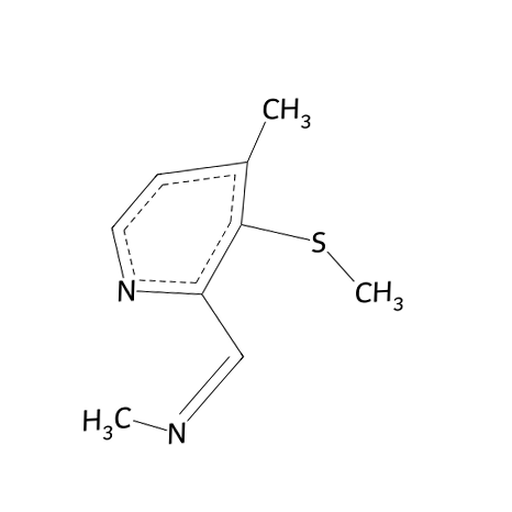 C/N=C\c1nccc(C)c1SC